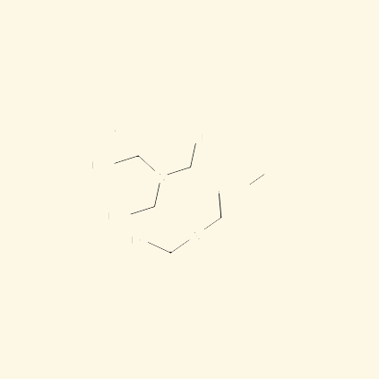 C[CH2][Al+][CH2]C.C[CH2][Al]([CH2]C)[CH2]C.[CH2]C.[Cl-]